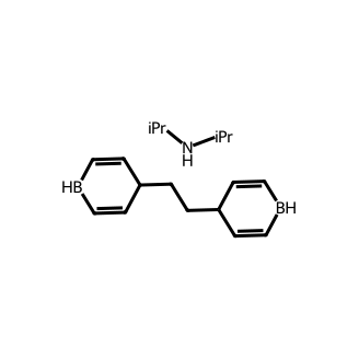 B1C=CC(CCC2C=CBC=C2)C=C1.CC(C)NC(C)C